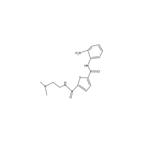 CN(C)CCNC(=O)c1ccc(C(=O)Nc2ccccc2N)s1